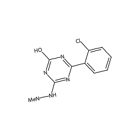 CNNc1nc(O)nc(-c2ccccc2Cl)n1